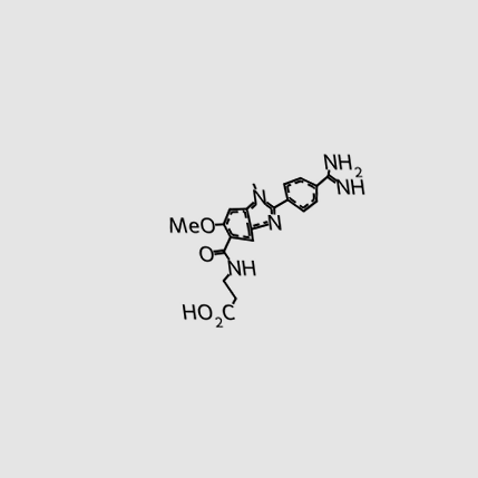 COc1cc2c(cc1C(=O)NCCC(=O)O)nc(-c1ccc(C(=N)N)cc1)n2C